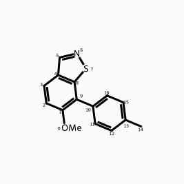 COc1ccc2cnsc2c1-c1ccc(C)cc1